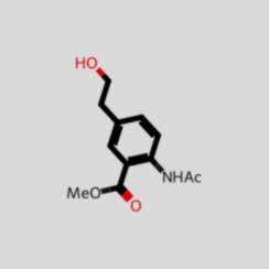 COC(=O)c1cc(CCO)ccc1NC(C)=O